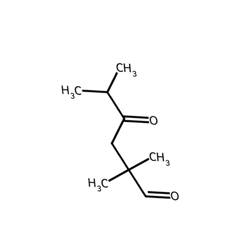 CC(C)C(=O)CC(C)(C)C=O